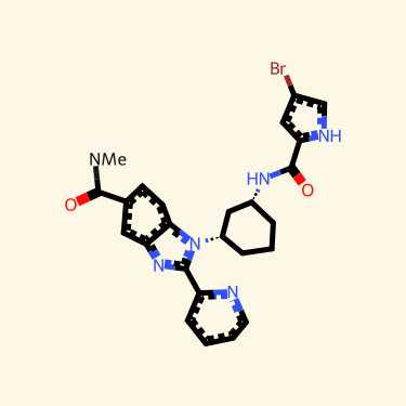 CNC(=O)c1ccc2c(c1)nc(-c1ccccn1)n2[C@H]1CCC[C@@H](NC(=O)c2cc(Br)c[nH]2)C1